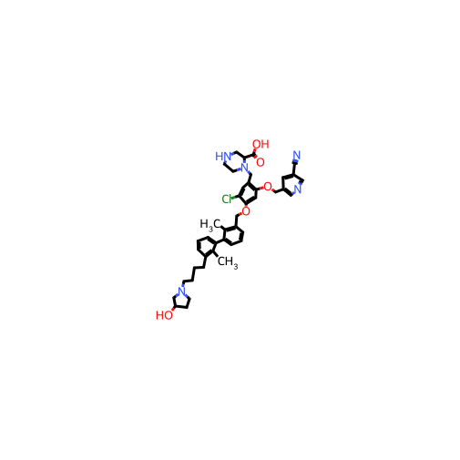 Cc1c(CCCCN2CCC(O)C2)cccc1-c1cccc(COc2cc(OCc3cncc(C#N)c3)c(CN3CCNCC3C(=O)O)cc2Cl)c1C